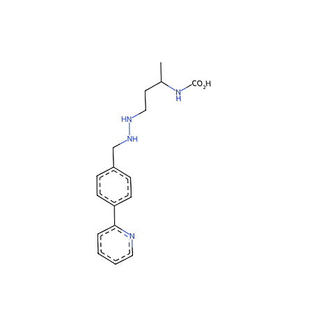 CC(CCNNCc1ccc(-c2ccccn2)cc1)NC(=O)O